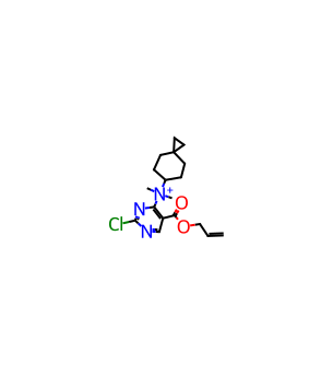 C=CCOC(=O)c1cnc(Cl)nc1[N+](C)(C)C1CCC2(CC1)CC2